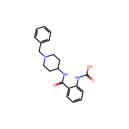 O=C(O)Nc1ccccc1C(=O)NC1CCN(Cc2ccccc2)CC1